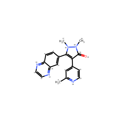 Cc1cc(-c2c(-c3ccc4nccnc4c3)n(C)n(C)c2=O)ccn1